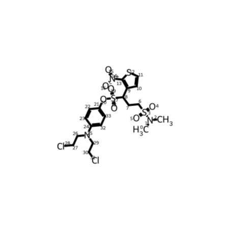 CN(C)S(=O)(=O)CCC(c1ccsc1[N+](=O)[O-])S(=O)(=O)Oc1ccc(N(CCCl)CCCl)cc1